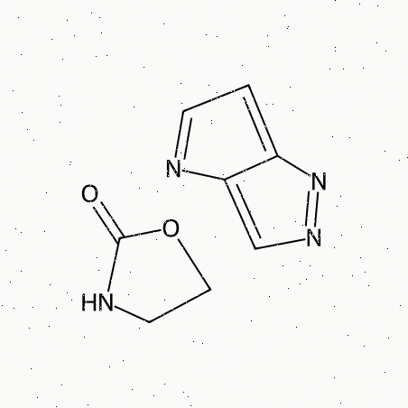 C1=NC2=CN=NC2=C1.O=C1NCCO1